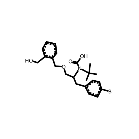 CC(C)(C)N(C(=O)O)C(COCc1ccccc1CO)Cc1ccc(Br)cc1